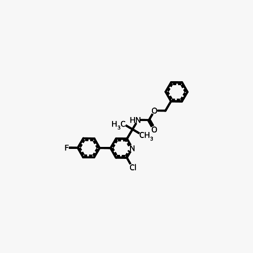 CC(C)(NC(=O)OCc1ccccc1)c1cc(-c2ccc(F)cc2)cc(Cl)n1